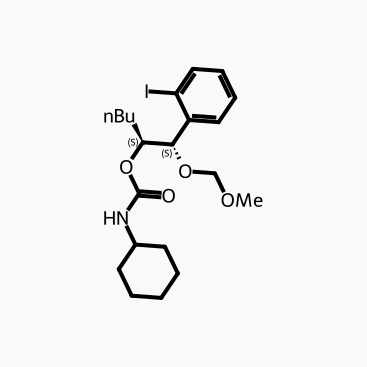 CCCC[C@H](OC(=O)NC1CCCCC1)[C@@H](OCOC)c1ccccc1I